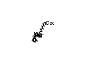 CCCCCCCCCCCCCCCCCC[N+](C)(C)CC(CC)Oc1ccccc1.[Cl-]